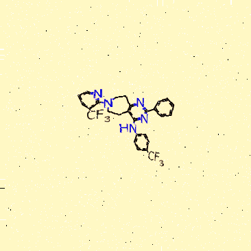 FC(F)(F)c1ccc(Nc2nc(-c3ccccc3)nc3c2CCN(c2ncccc2C(F)(F)F)CC3)cc1